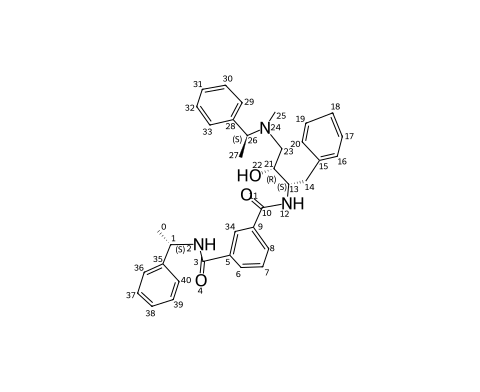 C[C@H](NC(=O)c1cccc(C(=O)N[C@@H](Cc2ccccc2)[C@H](O)CN(C)[C@@H](C)c2ccccc2)c1)c1ccccc1